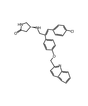 O=C1C[C@H](NC/C(=C/c2ccc(Cl)cc2)c2ccc(OCc3ccc4ccccc4n3)cc2)CN1